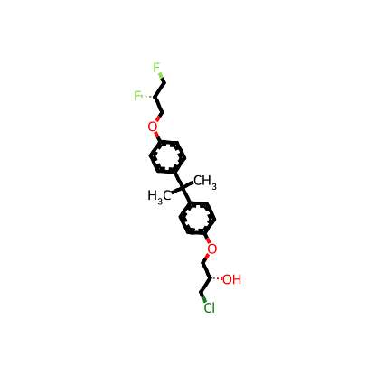 CC(C)(c1ccc(OC[C@H](O)CCl)cc1)c1ccc(OC[C@H](F)CF)cc1